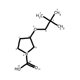 CC(C)(C)COC1CCN(C(=O)O)C1